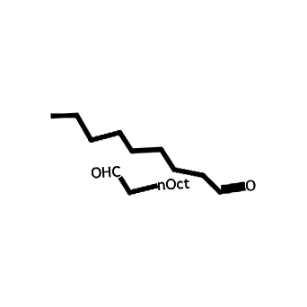 CCCCCCCCC=O.CCCCCCCCCC=O